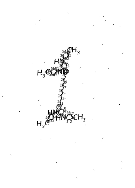 Cc1ccc(Nc2ccc(OCCCCCCCCCCCCOc3ccc(Nc4ccc(C)cc4)cc3Nc3ccc(C)cc3)c(Nc3ccc(C)cc3)c2)cc1